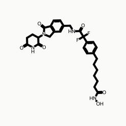 O=C(CCCCCCc1ccc(C(F)(F)C(=O)NCc2ccc3c(c2)CN(C2CCC(=O)NC2=O)C3=O)cc1)NO